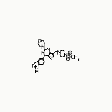 CS(=O)(=O)N1CCN(Cc2csc3c(-c4ccc5[nH]ncc5c4)nc(N4CCOCC4)nc23)CC1